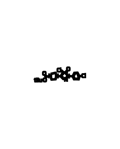 CC(C)(C)OC(=O)N1CCN(c2cnn(-c3ccc(Cl)cc3)c(=O)c2Cl)CC1